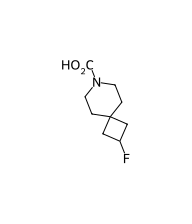 O=C(O)N1CCC2(CC1)CC(F)C2